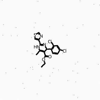 CCOC(=O)C1=C(C)NC(c2cscn2)=NC1c1ccc(Cl)cc1Cl